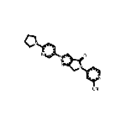 N#Cc1cc(N2Cc3nn(-c4ccc(N5CCCC5)nc4)cc3C2=O)ccn1